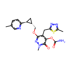 Cc1ccc([C@H]2C[C@@H]2COc2nn(C)c(=O)c(OC(N)=O)c2Cc2nnc(C)s2)nc1